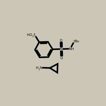 CC(C)(C)NS(=O)(=O)c1cccc(S(=O)(=O)O)c1.NC1CC1